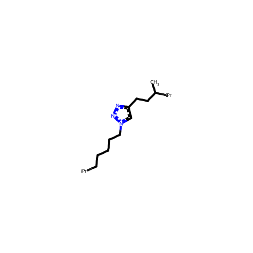 CC(C)CCCCCn1cc(CCC(C)C(C)C)nn1